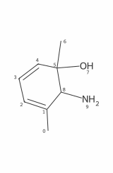 CC1=CC=CC(C)(O)C1N